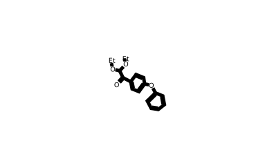 CCOC(OCC)C(=O)c1ccc(Oc2ccccc2)cc1